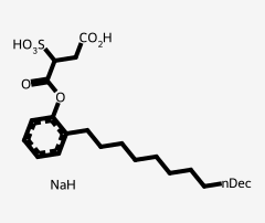 CCCCCCCCCCCCCCCCCCc1ccccc1OC(=O)C(CC(=O)O)S(=O)(=O)O.[NaH]